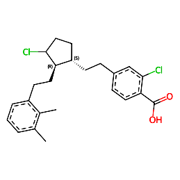 Cc1cccc(CC[C@H]2C(Cl)CC[C@@H]2CCc2ccc(C(=O)O)c(Cl)c2)c1C